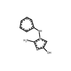 Nc1nc(O)cn1Nc1ccccc1